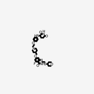 O=C1CCC(Nc2ccc(OCCN3CCC(COc4cc(F)c5c(=O)[nH]c(CSC6CCOCC6)nc5c4)CC3)cc2)C(=O)N1